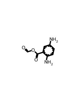 Nc1ccc(N)c(C(=O)OC=O)c1